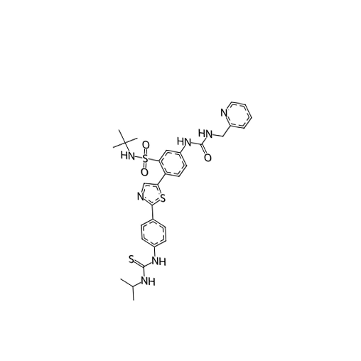 CC(C)NC(=S)Nc1ccc(-c2ncc(-c3ccc(NC(=O)NCc4ccccn4)cc3S(=O)(=O)NC(C)(C)C)s2)cc1